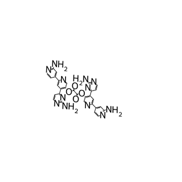 Nc1cc(-c2cc(-c3ccnc(N)n3)c(OC(=O)C(=O)Oc3cnc(-c4ccnc(N)c4)cc3-c3ccnc(N)n3)cn2)ccn1